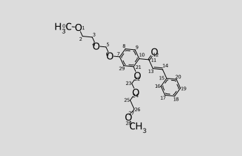 COCCOCOc1ccc(C(=O)C=Cc2ccccc2)c(OCOCCOC)c1